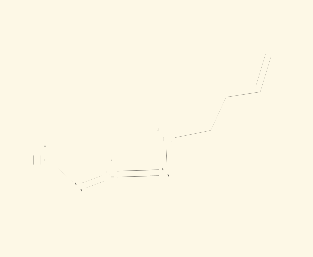 C=CCCON=[Si]=NO